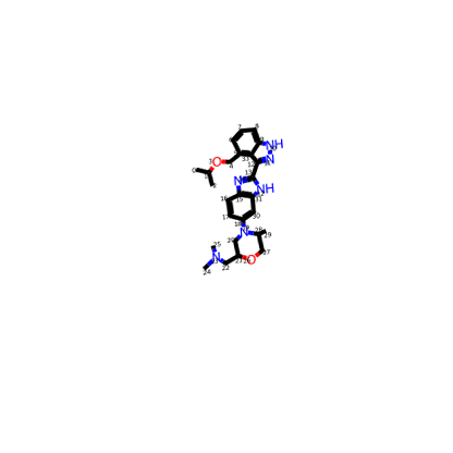 CC(C)OCc1cccc2[nH]nc(-c3nc4ccc(N5CC(CN(C)C)OCC5C)cc4[nH]3)c12